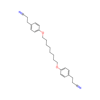 N#CCCc1ccc(OCCCCCCCCOc2ccc(CCC#N)cc2)cc1